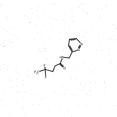 O=C(CCC(F)(F)C(F)(F)F)NCc1cccnn1